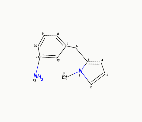 CCn1cccc1Cc1cccc(N)c1